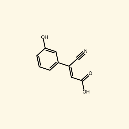 N#CC(=CC(=O)O)c1cccc(O)c1